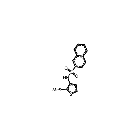 CSc1sccc1NS(=O)(=O)c1ccc2ccccc2c1